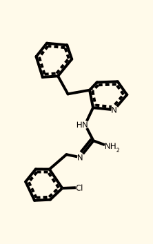 NC(=NCc1ccccc1Cl)Nc1ncccc1Cc1ccccc1